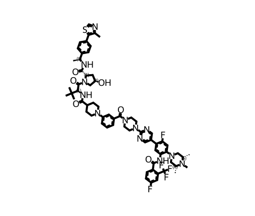 Cc1ncsc1-c1ccc([C@H](C)NC(=O)[C@@H]2C[C@@H](O)CN2C(=O)[C@@H](NC(=O)C2CCN(c3cccc(C(=O)N4CCN(c5ncc(-c6cc(NC(=O)c7ccc(F)cc7C(F)(F)F)c(N7C[C@@H](C)N(C)[C@@H](C)C7)cc6F)cn5)CC4)c3)CC2)C(C)(C)C)cc1